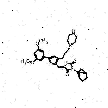 COc1cc(OC)cc(-c2cc(CCCN3CCNCC3)c(/C=C3\SC(=S)N(C4CC5CCC4C5)C3=O)o2)c1